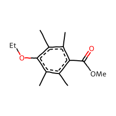 CCOc1c(C)c(C)c(C(=O)OC)c(C)c1C